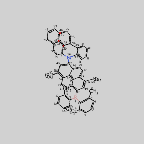 Cc1cccc(C)c1B(c1c(C)cccc1C)c1cc(C(C)(C)C)c2ccc3c(N(c4ccc5ccccc5c4)c4ccccc4-c4ccccc4)cc(C(C)(C)C)c4ccc1c2c34